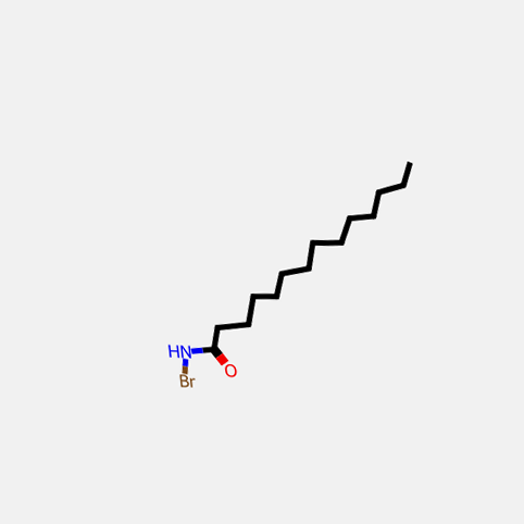 CCCCCCCCCCCCCC(=O)NBr